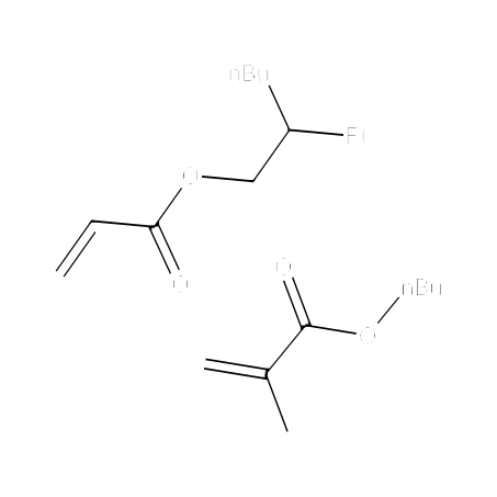 C=C(C)C(=O)OCCCC.C=CC(=O)OCC(CC)CCCC